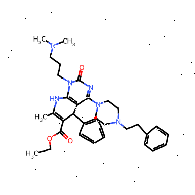 CCOC(=O)C1=C(C)Nc2c(c(N3CCN(CCc4ccccc4)CC3)nc(=O)n2CCCN(C)C)C1c1ccccc1